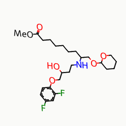 COC(=O)CCCCCCC(COC1CCCCO1)NCCC(O)COc1ccc(F)cc1F